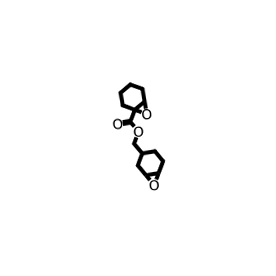 O=C(OCC1CCC2OC2C1)C12CCCCC1O2